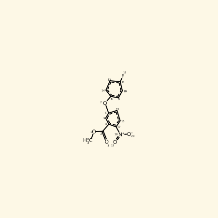 COC(=O)c1cc(Oc2ccc(F)cc2)ccc1[N+](=O)[O-]